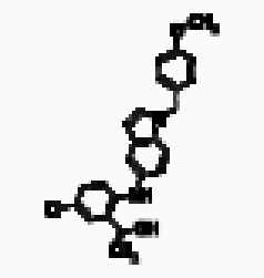 C=C(O)c1cc(Cl)ccc1Nc1ccc2c(ccn2Cc2ccc(OC)cc2)c1